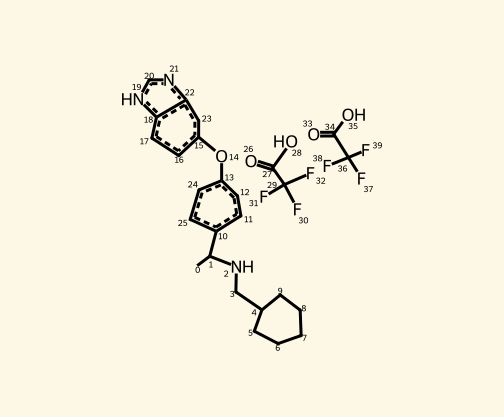 CC(NCC1CCCCC1)c1ccc(Oc2ccc3[nH]cnc3c2)cc1.O=C(O)C(F)(F)F.O=C(O)C(F)(F)F